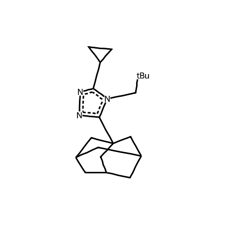 CC(C)(C)Cn1c(C2CC2)nnc1C12CC3CC(CC(C3)C1)C2